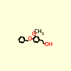 COc1cc(CCO)ccc1OCc1ccccc1